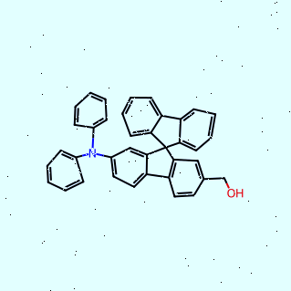 OCc1ccc2c(c1)C1(c3ccccc3-c3ccccc31)c1cc(N(c3ccccc3)c3ccccc3)ccc1-2